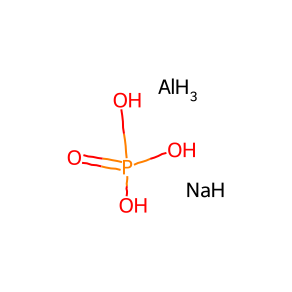 O=P(O)(O)O.[AlH3].[NaH]